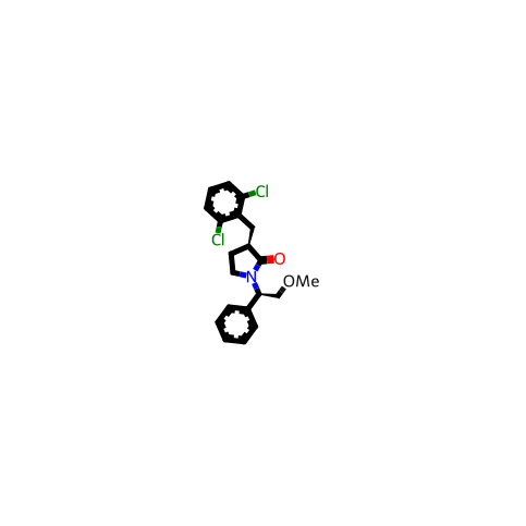 COC[C@@H](c1ccccc1)N1CC[C@@H](Cc2c(Cl)cccc2Cl)C1=O